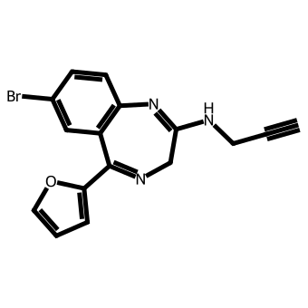 C#CCNC1=Nc2ccc(Br)cc2C(c2ccco2)=NC1